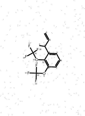 C=C[C](C)c1cccc(OC(F)(F)F)c1OC(F)(F)F